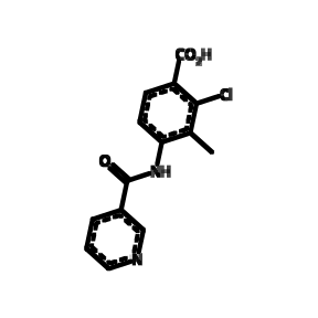 Cc1c(NC(=O)c2cccnc2)ccc(C(=O)O)c1Cl